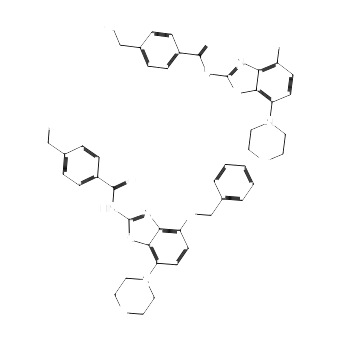 O=C(Nc1nc2c(O)ccc(N3CCOCC3)c2s1)c1ccc(CCl)cc1.O=C(Nc1nc2c(OCc3ccccc3)ccc(N3CCOCC3)c2s1)c1ccc(CCl)cc1